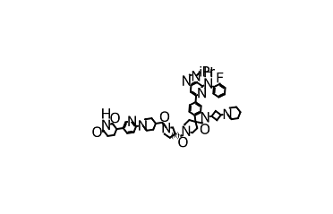 CC(C)n1cnc2cc(-c3ccc4c(c3)N(C3CC(N5CCCCC5)C3)C(=O)C43CCN(C(=O)[C@@H]4CCN(C(=O)C5CCN(c6ccc(C7CCC(=O)NC7=O)cn6)CC5)C4)CC3)nc(Nc3ccccc3F)c21